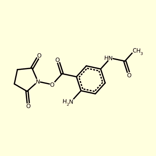 CC(=O)Nc1ccc(N)c(C(=O)ON2C(=O)CCC2=O)c1